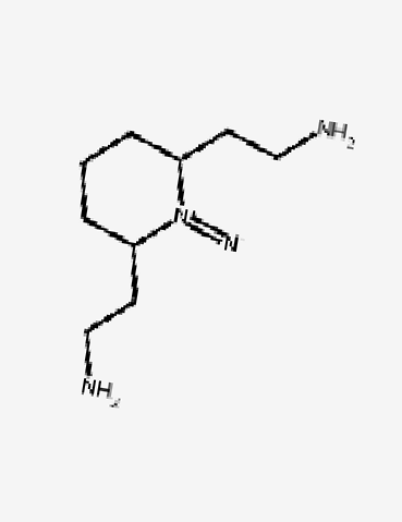 [N-]=[N+]1C(CCN)CCCC1CCN